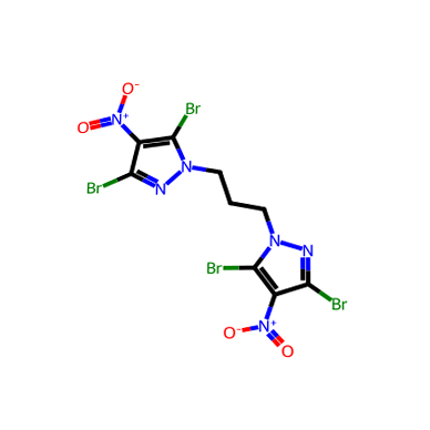 O=[N+]([O-])c1c(Br)nn(CCCn2nc(Br)c([N+](=O)[O-])c2Br)c1Br